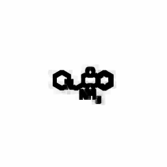 N.c1ccc2c(c1)OCC(CN1CCCCC1)O2